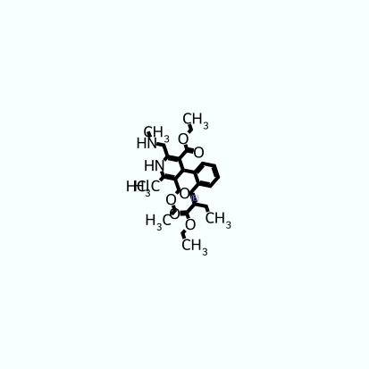 CCOC(=O)C1=C(C)NC(CNC)=C(C(=O)OCC)C1c1ccccc1/C=C(\CC)C(=O)OCC.Cl